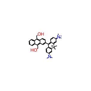 CN(C)c1ccc2c(c1)[Si](C)(C)C1=CC(=[N+](C)C)C=CC1=C2c1ccc2c(CO)c3ccccc3c(CO)c2c1